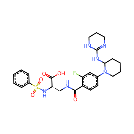 O=C(NC[C@H](NS(=O)(=O)c1ccccc1)C(=O)O)c1ccc(N2CCCCC2NC2=NCCCN2)cc1F